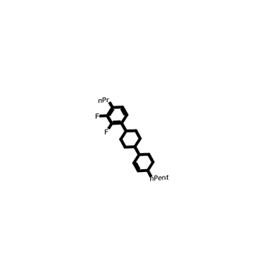 CCCCCC1C=CC(C2CCC(c3ccc(CCC)c(F)c3F)CC2)CC1